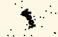 O=C(O)N1CCC(N2CCC(N3C(=O)N[C@@H]4CCCC[C@@H]43)CC2)CC1